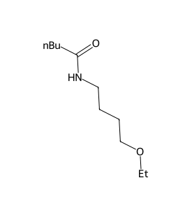 CCCCC(=O)NCCCCOCC